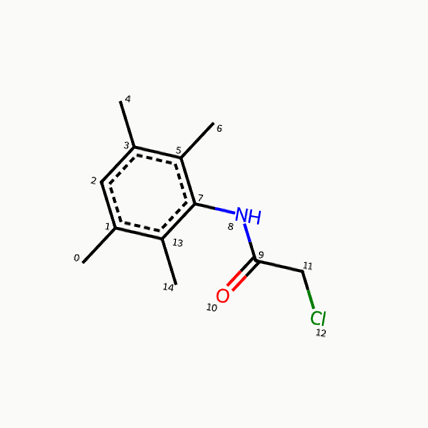 Cc1cc(C)c(C)c(NC(=O)CCl)c1C